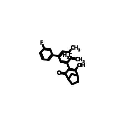 C=C(C)/C(=C\C(=C/CC)c1cccc(F)c1)C1=C(O)C2CCC(C2)C1=O